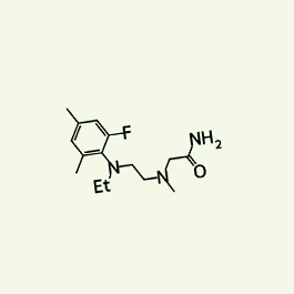 CCN(CCN(C)CC(N)=O)c1c(C)cc(C)cc1F